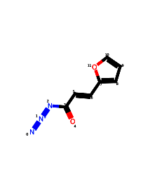 [N-]=[N+]=NC(=O)C=Cc1ccco1